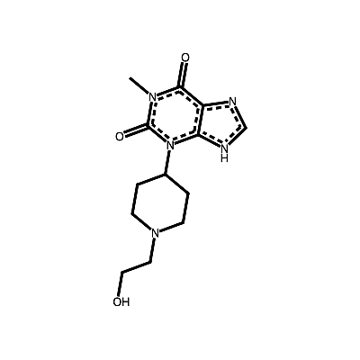 Cn1c(=O)c2nc[nH]c2n(C2CCN(CCO)CC2)c1=O